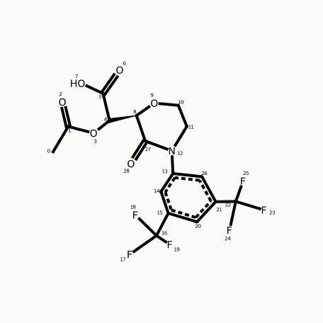 CC(=O)OC(C(=O)O)[C@H]1OCCN(c2cc(C(F)(F)F)cc(C(F)(F)F)c2)C1=O